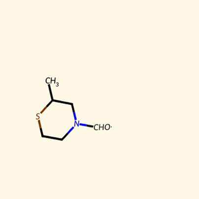 CC1CN([C]=O)CCS1